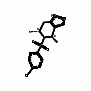 C[C@@H]1Cc2[nH]ncc2[C@@H](C)N1S(=O)(=O)c1ccc(Cl)cc1